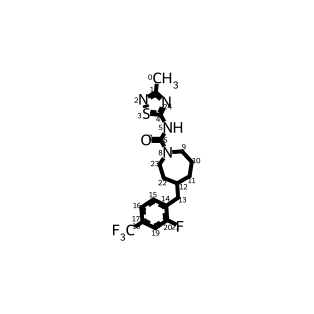 Cc1nsc(NC(=O)N2CCCC(Cc3ccc(C(F)(F)F)cc3F)CC2)n1